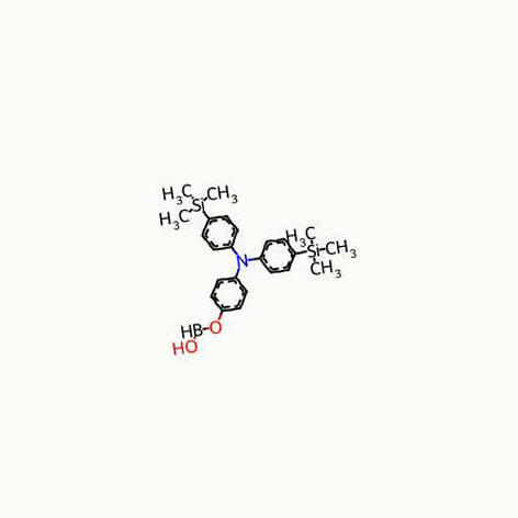 C[Si](C)(C)c1ccc(N(c2ccc(OBO)cc2)c2ccc([Si](C)(C)C)cc2)cc1